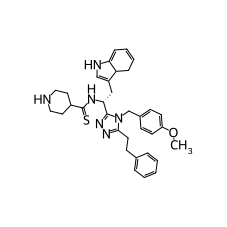 COc1ccc(Cn2c(CCc3ccccc3)nnc2[C@@H](CC2=CNC3=CC=CCC23)NC(=S)C2CCNCC2)cc1